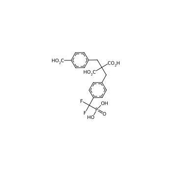 O=C(O)c1ccc(CC(Cc2ccc(C(F)(F)P(=O)(O)O)cc2)(C(=O)O)C(=O)O)cc1